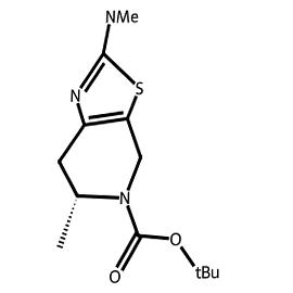 CNc1nc2c(s1)CN(C(=O)OC(C)(C)C)[C@H](C)C2